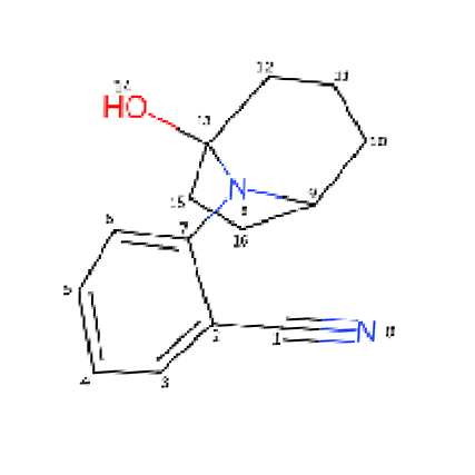 N#Cc1ccccc1N1C2CCCC1(O)CC2